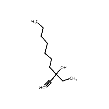 C#CC(O)(CC)CCCCCCC